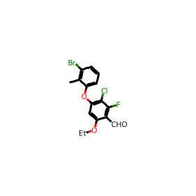 CCOc1cc(Oc2cccc(Br)c2C)c(Cl)c(F)c1C=O